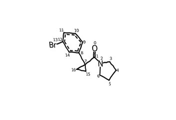 O=C(N1CCCC1)C1(c2cccc(Br)c2)CC1